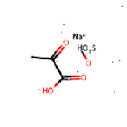 CC(=O)C(=O)O.O=S(=O)([O-])O.[Na+]